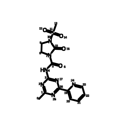 Cc1nc(NC(=O)N2CCN(S(C)(=O)=O)C2=O)nc(-c2ccccn2)n1